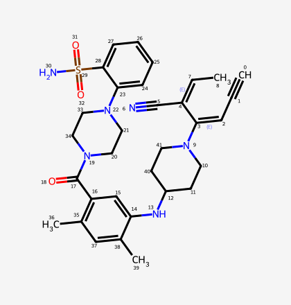 C#C/C=C(\C(C#N)=C/C)N1CCC(Nc2cc(C(=O)N3CCN(c4ccccc4S(N)(=O)=O)CC3)c(C)cc2C)CC1